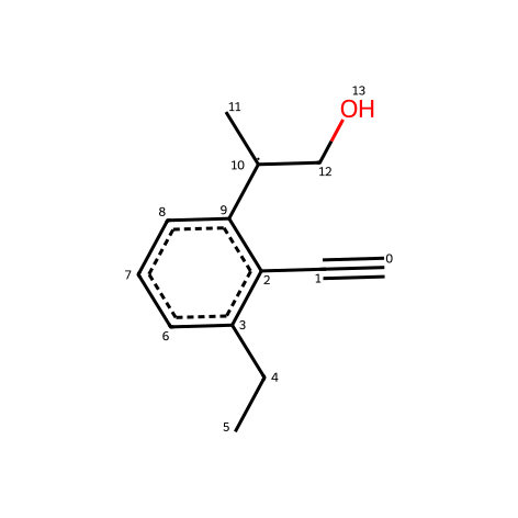 C#Cc1c(CC)cccc1[C](C)CO